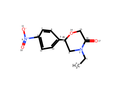 CCN1C[C@@H](c2ccc([N+](=O)[O-])cc2)OCC1=O